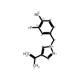 C=C(C)c1cnn(Cc2ccc(C#N)c(F)c2)c1